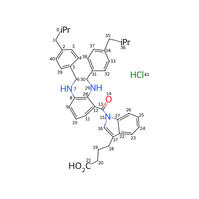 CC(C)Cc1ccc(CNc2cccc(C(=O)n3cc(CCCC(=O)O)c4ccccc43)c2NCc2ccc(CC(C)C)cc2)cc1.Cl